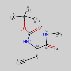 C#CC[C@H](NC(=O)OC(C)(C)C)C(=O)NC